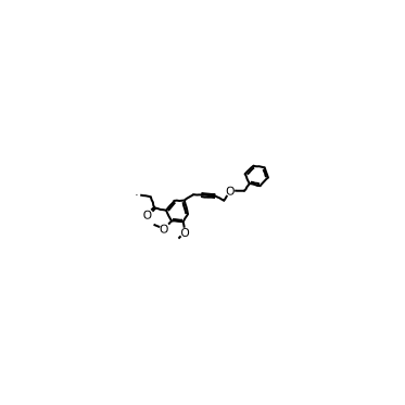 [CH2]CC(=O)c1cc(CC#CCOCc2ccccc2)cc(OC)c1OC